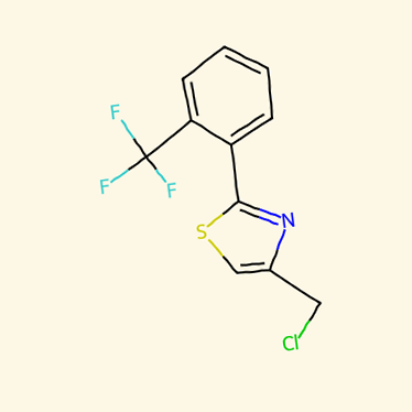 FC(F)(F)c1ccccc1-c1nc(CCl)cs1